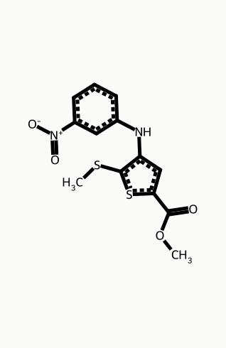 COC(=O)c1cc(Nc2cccc([N+](=O)[O-])c2)c(SC)s1